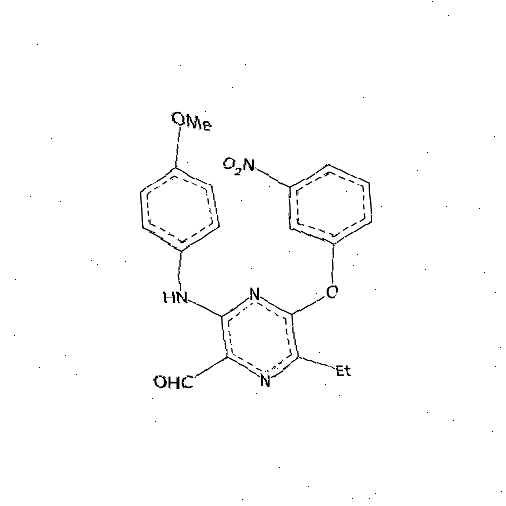 CCc1nc(C=O)c(Nc2ccc(OC)cc2)nc1Oc1cccc([N+](=O)[O-])c1